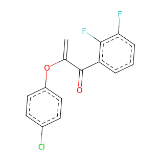 C=C(Oc1ccc(Cl)cc1)C(=O)c1cccc(F)c1F